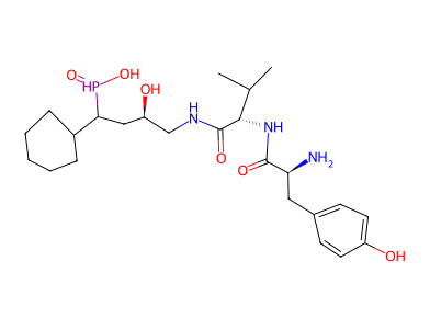 CC(C)[C@H](NC(=O)[C@@H](N)Cc1ccc(O)cc1)C(=O)NC[C@H](O)CC(C1CCCCC1)[PH](=O)O